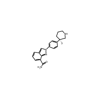 NC(=O)c1cccc2cn(-c3ccc([C@@]4(F)CCCNC4)cc3)nc12